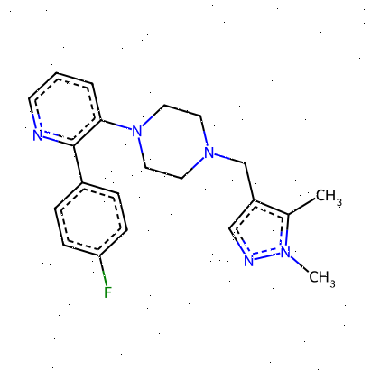 Cc1c(CN2CCN(c3cccnc3-c3ccc(F)cc3)CC2)cnn1C